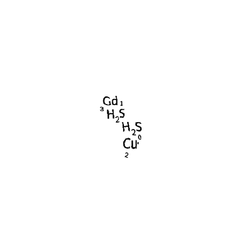 S.S.[Cu].[Gd]